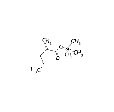 C=C(CCC)C(=O)O[Si](C)(C)C